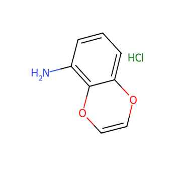 Cl.Nc1cccc2c1OC=CO2